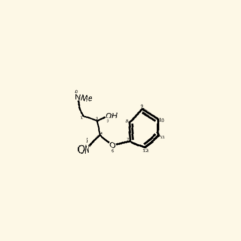 CNCC(O)C(N=O)Oc1ccccc1